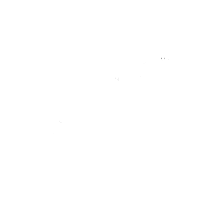 COC(=O)C1(CN2CCC(COc3noc4cccc(OCC(F)(F)F)c34)CC2)CCOCC1